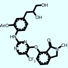 COc1cc(CC(O)CO)ccc1Nc1ncc(C(F)(F)F)c(Oc2cccc3c2C(=O)N(C)C3)n1